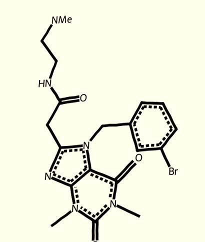 CNCCNC(=O)Cc1nc2c(c(=O)n(C)c(=O)n2C)n1Cc1cccc(Br)c1